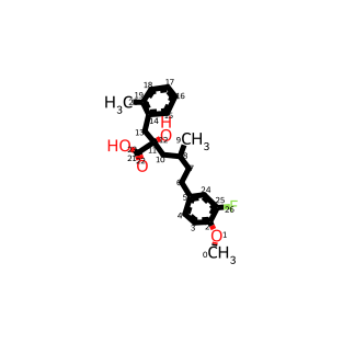 COc1ccc(CCC(C)CC(O)(Cc2ccccc2C)C(=O)O)cc1F